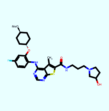 CO[C@H]1CC[C@H](Oc2cc(F)ccc2Nc2ncnc3sc(C(=O)NCCCN4CCC(O)C4)c(C)c23)CC1